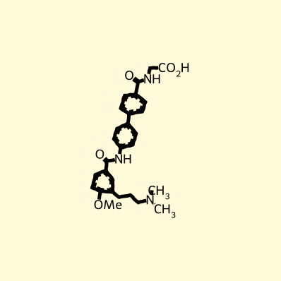 COc1ccc(C(=O)Nc2ccc(-c3ccc(C(=O)NCC(=O)O)cc3)cc2)cc1CCCN(C)C